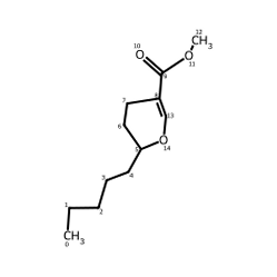 CCCCCC1CCC(C(=O)OC)=CO1